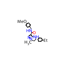 CCc1ccc([C@@H]2C[C@H](C)n3ncc(C(=O)NCc4ccc(OC)cc4)c3N2)cc1